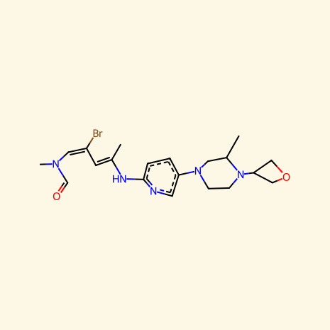 C/C(=C\C(Br)=C/N(C)C=O)Nc1ccc(N2CCN(C3COC3)C(C)C2)cn1